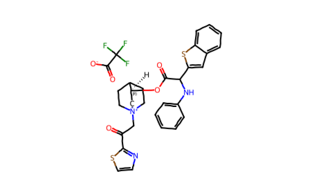 O=C(C[N+]12CCC(CC1)[C@@H](OC(=O)C(Nc1ccccc1)c1cc3ccccc3s1)C2)c1nccs1.O=C([O-])C(F)(F)F